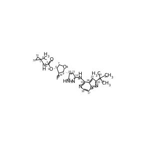 CC1(NC(=O)O[C@@H]2CO[C@H](c3cc(Nc4nccn5nc(C(C)(C)C)cc45)n[nH]3)[C@H]2F)CC1